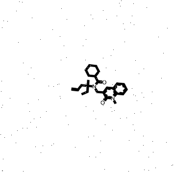 C=CCC(C)(CC)N(Cc1cc2ccccc2n(C)c1=O)C(=O)C1CCCCC1